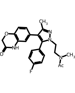 CC(=O)N(C)CCn1nc(C)c(-c2ccc3c(c2)NC(=O)CO3)c1-c1ccc(F)cc1